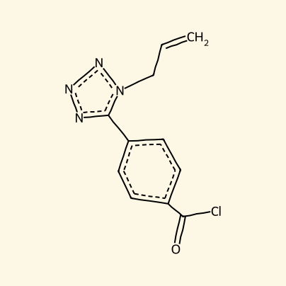 C=CCn1nnnc1-c1ccc(C(=O)Cl)cc1